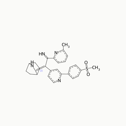 Cc1cccc(C(=N)/C(=C2\NC3CCC2CC3)c2ccnc(-c3ccc(S(C)(=O)=O)cc3)c2)n1